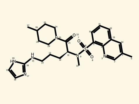 Cc1cnc2c(S(=O)(=O)N(C)[C@@H](CCCNc3ncc[nH]3)C(=O)N3CCC(C)CC3)cccc2c1